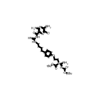 CC(C)(C)OC(=O)/N=C(\N)N(CCOc1ccc(CCCCNC(=N)NC(=O)c2nc(Cl)c(N)nc2N)cc1)C(=O)OC(C)(C)C